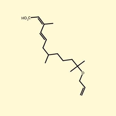 C=CCOC(C)(C)CCCC(C)CC=CC(C)=CC(=O)O